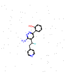 Nc1nnc(-c2ccccc2O)cc1C(F)Cc1ccncc1